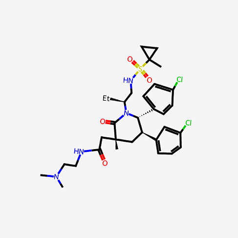 CC[C@@H](CNS(=O)(=O)C1(C)CC1)N1C(=O)[C@@](C)(CC(=O)NCCN(C)C)C[C@H](c2cccc(Cl)c2)[C@H]1c1ccc(Cl)cc1